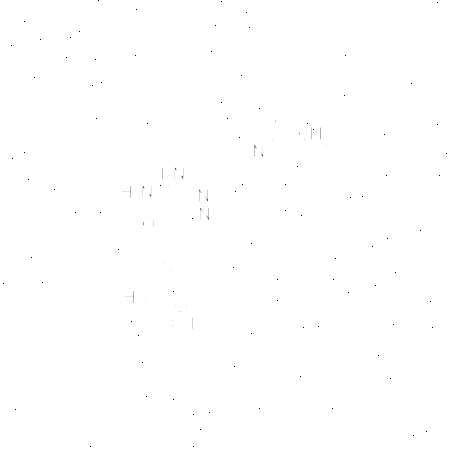 C=CC(=O)N1CC2(CC(n3nc(-c4ccc(C(C)OC)cc4)c(C(N)=O)c3N)C2)C1